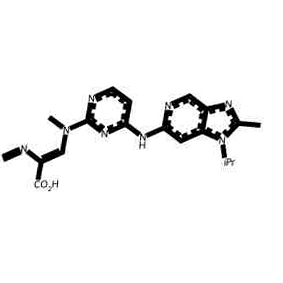 C=N/C(=C\N(C)c1nccc(Nc2cc3c(cn2)nc(C)n3C(C)C)n1)C(=O)O